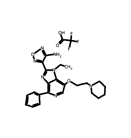 CCn1c(-c2nonc2N)nc2c(-c3ccccc3)ncc(OCCN3CCCCC3)c21.O=C(O)C(F)(F)F